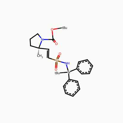 CC(C)(C)OC(=O)N1CCC[C@]1(C)/C=C/S(=O)(=O)N[Si](c1ccccc1)(c1ccccc1)C(C)(C)C